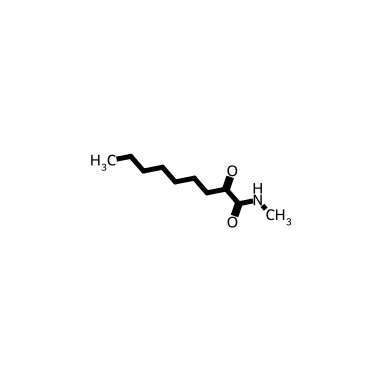 CCCCCCCC(=O)C(=O)NC